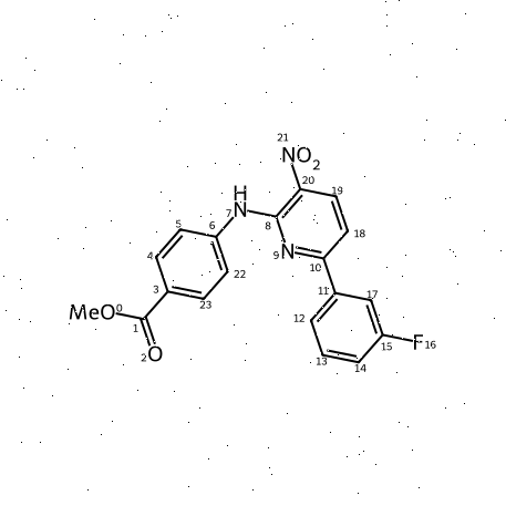 COC(=O)c1ccc(Nc2nc(-c3cccc(F)c3)ccc2[N+](=O)[O-])cc1